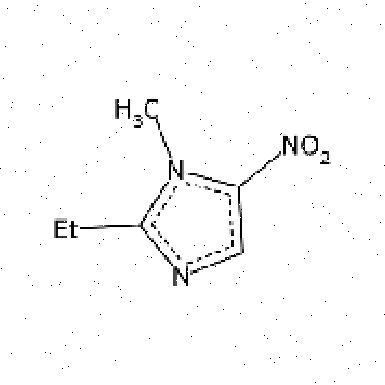 CCc1ncc([N+](=O)[O-])n1C